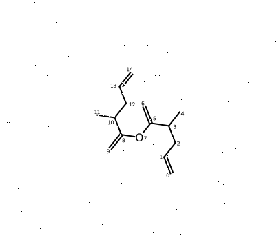 C=CCC(C)C(=C)OC(=C)C(C)CC=C